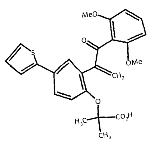 C=C(C(=O)c1c(OC)cccc1OC)c1cc(-c2cccs2)ccc1OC(C)(C)C(=O)O